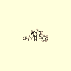 O=C(CCCCl)Nc1c(Br)cccc1OC1CCOCC1